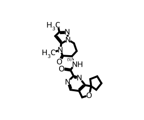 Cc1cc2n(n1)CC[C@H](NC(=O)c1ncc3c(n1)C1(CCCC1)OC3)C(=O)N2C